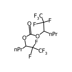 CCCC(OC(=O)OC(CCC)C(F)(F)C(F)(F)F)C(F)(F)C(F)(F)F